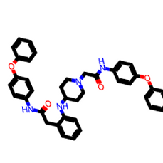 O=C(Cc1ccccc1NC1CCN(CC(=O)Nc2ccc(Oc3ccccc3)cc2)CC1)Nc1ccc(Oc2ccccc2)cc1